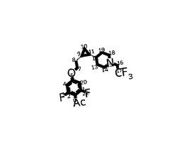 CC(=O)c1c(F)cc(OCC[C@@H]2C[C@@H]2C2CCN(CC(F)(F)F)CC2)cc1F